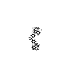 COC(c1ccc(B(OC(C)(C)CN)c2ccccc2)cc1)c1ccc(B(OC(C)(C)CN)c2ccccc2)cc1